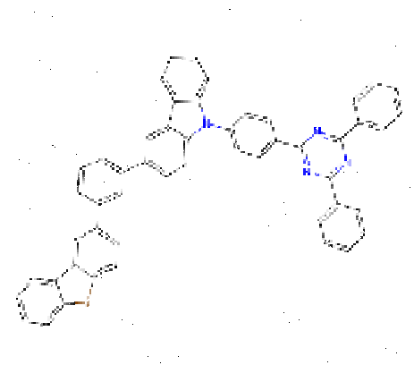 c1ccc(-c2nc(-c3ccccc3)nc(-c3ccc(-n4c5ccccc5c5cc(-c6cccc(-c7ccc8sc9ccccc9c8c7)c6)ccc54)cc3)n2)cc1